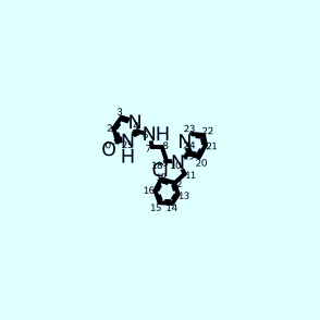 O=c1ccnc(NCCCN(Cc2ccccc2Cl)c2ccccn2)[nH]1